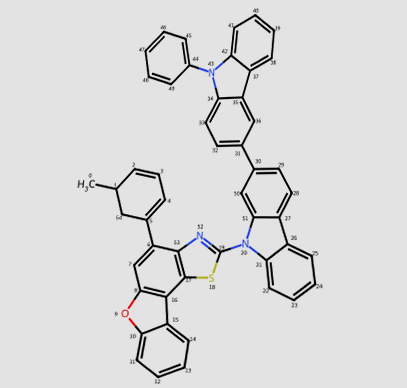 CC1C=CC=C(c2cc3oc4ccccc4c3c3sc(-n4c5ccccc5c5ccc(-c6ccc7c(c6)c6ccccc6n7-c6ccccc6)cc54)nc23)C1